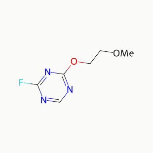 COCCOc1ncnc(F)n1